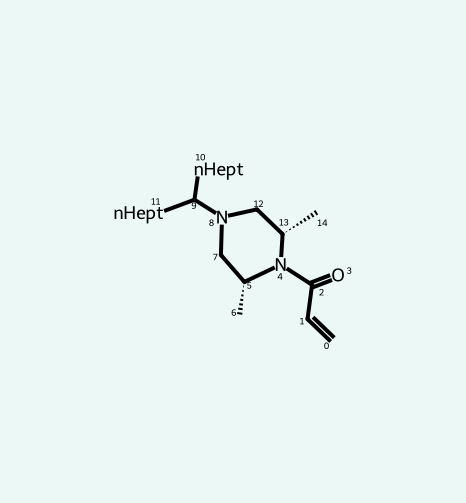 C=CC(=O)N1[C@H](C)CN(C(CCCCCCC)CCCCCCC)C[C@@H]1C